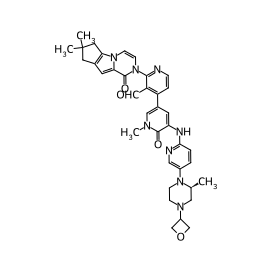 C[C@H]1CN(C2COC2)CCN1c1ccc(Nc2cc(-c3ccnc(-n4ccn5c6c(cc5c4=O)CC(C)(C)C6)c3C=O)cn(C)c2=O)nc1